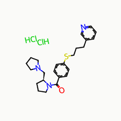 Cl.Cl.O=C(c1ccc(SCCCc2cccnc2)cc1)N1CCC[C@H]1CN1CCCC1